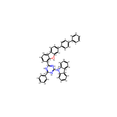 c1ccc(-c2ccc(-c3ccc4c(c3)oc3c(-c5nc(-c6ccccc6)nc(-n6c7ccccc7c7ccccc76)n5)cccc34)cc2)cc1